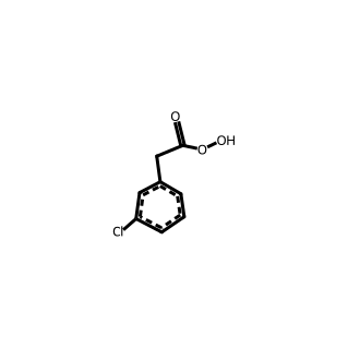 O=C(Cc1cccc(Cl)c1)OO